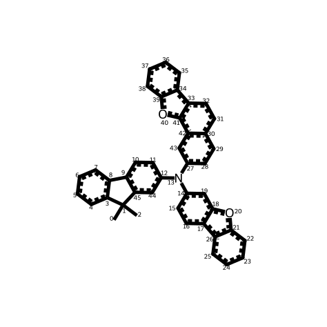 CC1(C)c2ccccc2-c2ccc(N(c3ccc4c(c3)oc3ccccc34)c3ccc4ccc5c6ccccc6oc5c4c3)cc21